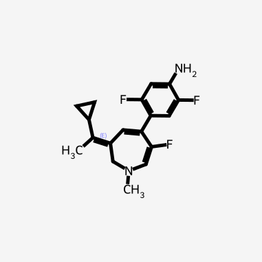 C/C(=C1/C=C(c2cc(F)c(N)cc2F)C(F)=CN(C)C1)C1CC1